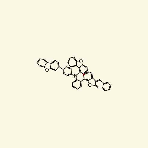 c1ccc(N(c2ccc(-c3ccc4c(c3)oc3ccccc34)cc2)c2cccc3oc4ccccc4c23)c(-c2cccc3c2oc2cc4ccccc4cc23)c1